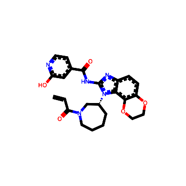 C=CC(=O)N1CCCC[C@@H](n2c(NC(=O)c3ccnc(O)c3)nc3ccc4c(c32)OCCO4)C1